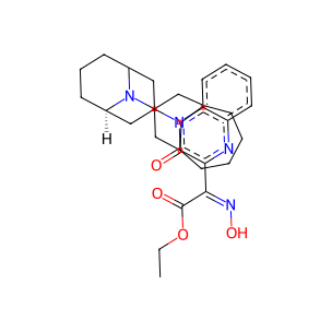 CCOC(=O)C(=NO)c1nc2ccccc2n(C2CC3CCC[C@H](C2)N3C2CC3CCCCC(C3)C2)c1=O